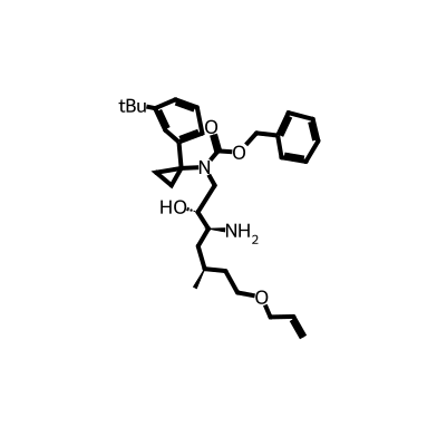 C=CCOCC[C@@H](C)C[C@H](N)[C@H](O)CN(C(=O)OCc1ccccc1)C1(c2cccc(C(C)(C)C)c2)CC1